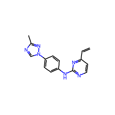 C=Cc1ccnc(Nc2ccc(-n3cnc(C)n3)cc2)n1